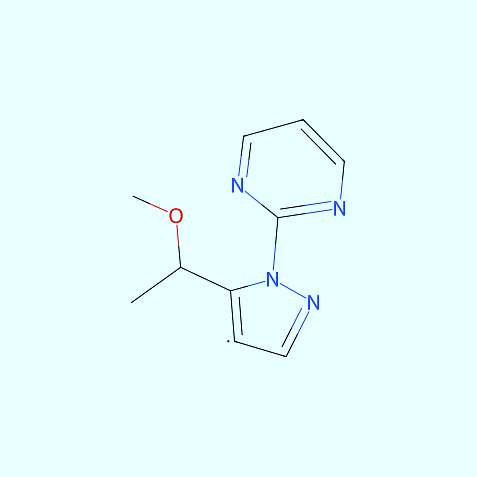 COC(C)c1[c]cnn1-c1ncccn1